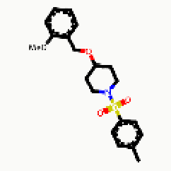 COc1ccccc1COC1CCN(S(=O)(=O)c2ccc(C)cc2)CC1